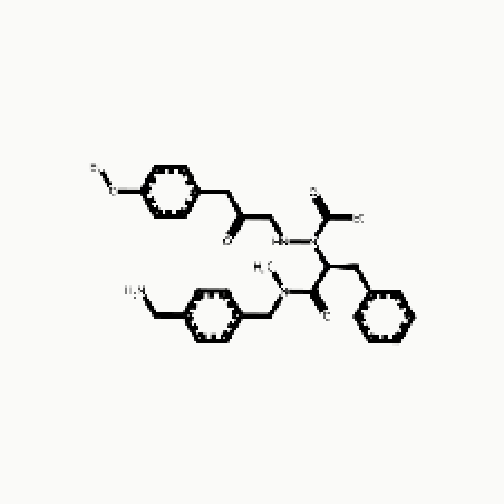 CCOc1ccc(CC(=O)CNN(C(=O)CC)[C@@H](Cc2ccccc2)C(=O)N(C)Cc2ccc(CN)cc2)cc1